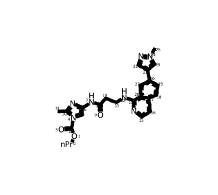 CCCOC(=O)n1cc(NC(=O)CCNc2nccc3ccc(-c4cnn(C)c4)cc23)nc1C